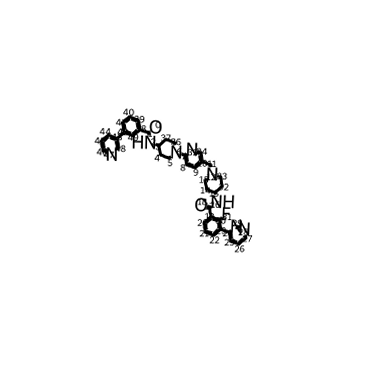 O=C(NC1CCN(c2ccc(CN3CCC(NC(=O)c4cccc(-c5cccnn5)c4F)CC3)cn2)CC1)c1cccc(-c2cccnc2)c1